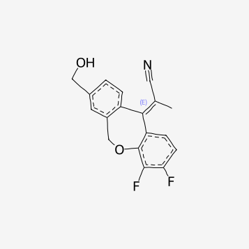 C/C(C#N)=C1/c2ccc(CO)cc2COc2c1ccc(F)c2F